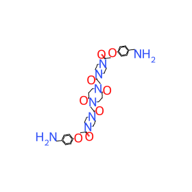 NCc1ccc(OCC(=O)N2CCN(C(=O)CN3CCC(=O)N(CC(=O)N4CCN(C(=O)COc5ccc(CN)cc5)CC4)CCC3=O)CC2)cc1